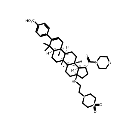 CC1(C)C(c2ccc(C(=O)O)cc2)=CC[C@]2(C)[C@H]3CC[C@@H]4[C@H]5[C@H](C(=O)N6CCOCC6)CC[C@]5(NCCN5CCS(=O)(=O)CC5)CC[C@@]4(C)[C@]3(C)CC[C@@H]12